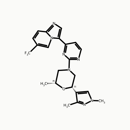 Cc1nn(C)cc1[C@H]1CN(c2nccc(-c3cnc4ccc(C(F)(F)F)cn34)n2)C[C@@H](C)O1